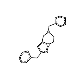 c1ccc(Cc2cc3n(n2)CCN(Cc2ccccc2)C3)cc1